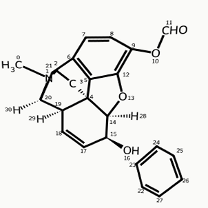 CN1CC[C@]23c4c5ccc(OC=O)c4O[C@H]2[C@@H](O)C=C[C@H]3[C@H]1C5.c1ccccc1